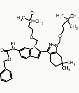 CCN(C(=O)OCc1ccccc1)c1ccc2cc(-c3nn(COCC[Si](C)(C)C)c4c3CCC(C)(C)C4)n(COCC[Si](C)(C)C)c2c1